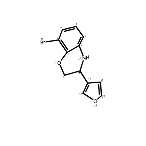 Brc1cccc2c1OCC(c1ccoc1)N2